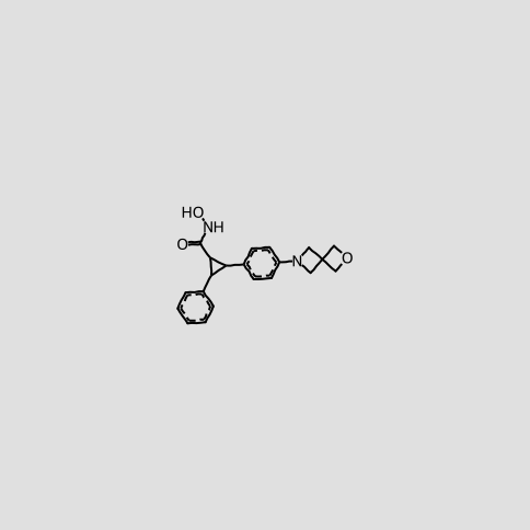 O=C(NO)C1C(c2ccccc2)C1c1ccc(N2CC3(COC3)C2)cc1